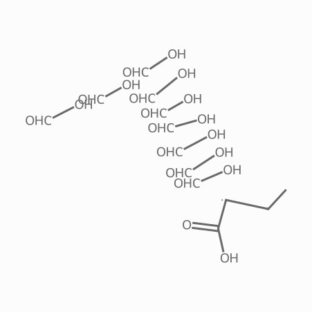 CC[CH]C(=O)O.O=CO.O=CO.O=CO.O=CO.O=CO.O=CO.O=CO.O=CO.O=CO